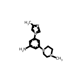 Cc1cn(-c2cc(N)cc(N3CCN(C)CC3)c2)cn1